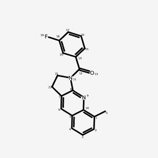 Cc1cccc2cc3c(nc12)N(C(=O)c1cccc(F)c1)CC3